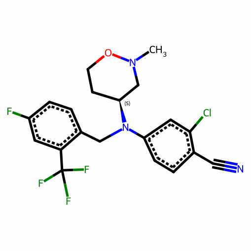 CN1C[C@@H](N(Cc2ccc(F)cc2C(F)(F)F)c2ccc(C#N)c(Cl)c2)CCO1